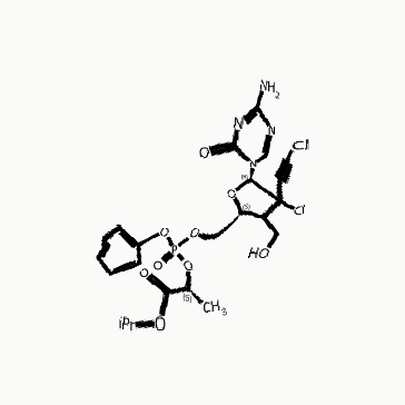 CC(C)OC(=O)[C@H](C)OP(=O)(OC[C@H]1O[C@@H](n2cnc(N)nc2=O)C(Cl)(C#CCl)C1CO)Oc1ccccc1